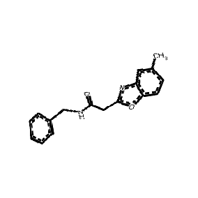 Cc1ccc2oc(CC(=O)NCc3ccccc3)nc2c1